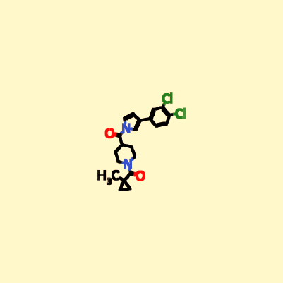 CC1(C(=O)N2CCC(C(=O)n3ccc(-c4ccc(Cl)c(Cl)c4)c3)CC2)CC1